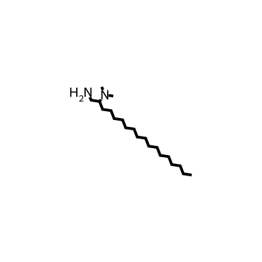 CCCCCCCCCCCCCCCCC(CN)N(C)C